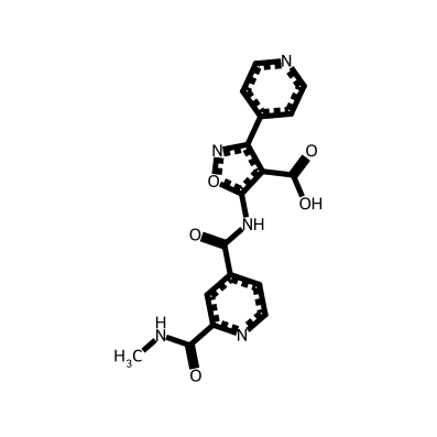 CNC(=O)c1cc(C(=O)Nc2onc(-c3ccncc3)c2C(=O)O)ccn1